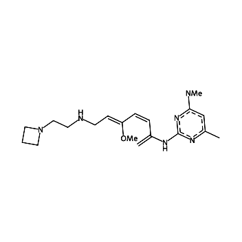 C=C(/C=C\C(=C\CNCCN1CCC1)OC)Nc1nc(C)cc(NC)n1